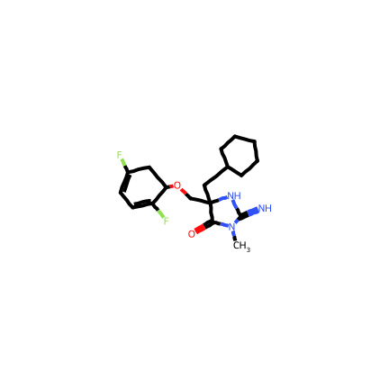 CN1C(=N)NC(COC2CC(F)=CC=C2F)(CC2CCCCC2)C1=O